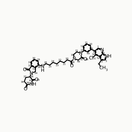 CCc1c[nH]c2ncc(-c3cccc(N4CCN(C(=O)CCCCCCCNc5cccc6c5CN(C5CCC(=O)NC5=O)C6=O)CC4=O)c3)c(Cl)c12